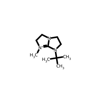 C[N+]1=C2N(CCN2C(C)(C)C)CC1